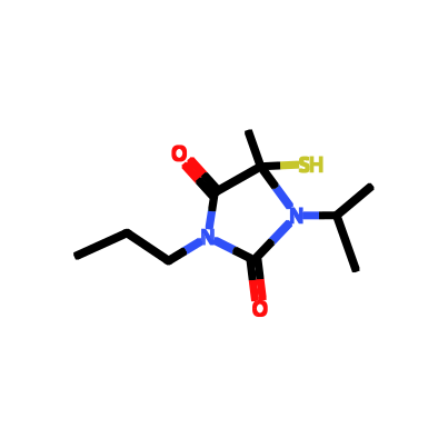 CCCN1C(=O)N(C(C)C)C(C)(S)C1=O